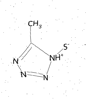 CC1=NN=N[NH+]1[S-]